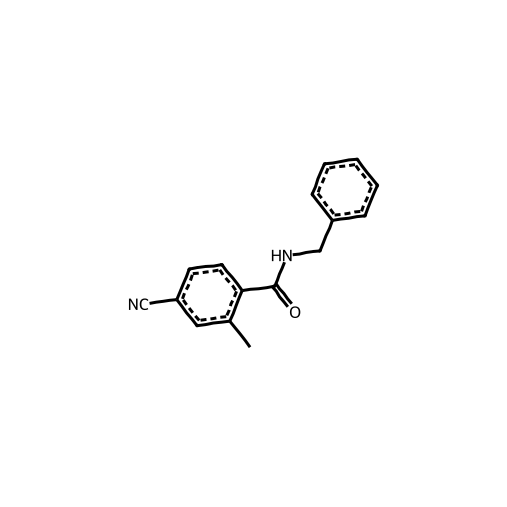 Cc1cc(C#N)ccc1C(=O)NCc1ccccc1